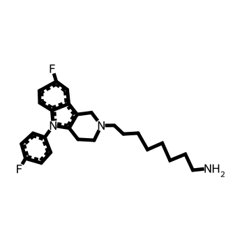 NCCCCCCCCN1CCc2c(c3cc(F)ccc3n2-c2ccc(F)cc2)C1